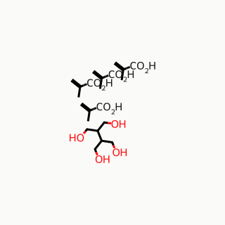 C=C(C)C(=O)O.C=C(C)C(=O)O.C=C(C)C(=O)O.C=C(C)C(=O)O.OCC(CO)C(CO)CO